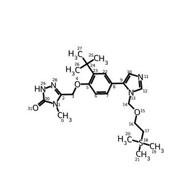 Cn1c(COc2ccc(-c3cncn3COCCS(C)(C)C)cc2C(C)(C)C)n[nH]c1=O